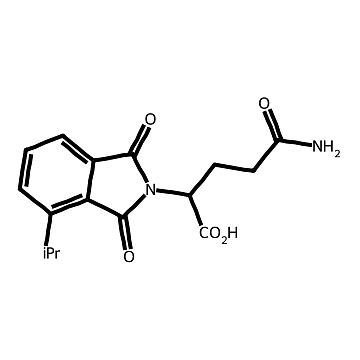 CC(C)c1cccc2c1C(=O)N(C(CCC(N)=O)C(=O)O)C2=O